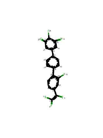 FC(F)=C(F)c1ccc(-c2ccc(-c3cc(F)c(F)c(F)c3)cc2)c(F)c1